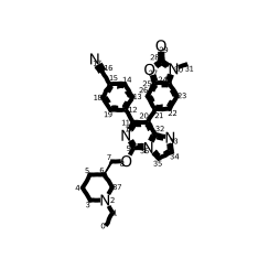 CCN1CCC[C@@H](COc2nc(-c3ccc(C#N)cc3)c(-c3ccc4c(c3)oc(=O)n4C)c3nccn23)C1